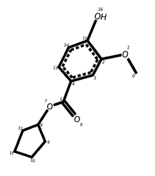 COc1cc(C(=O)OC2CCCC2)ccc1O